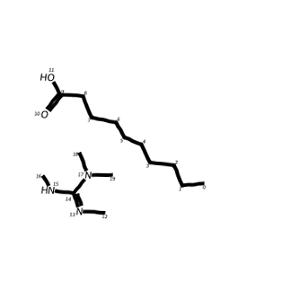 CCCCCCCCCC(=O)O.CN=C(NC)N(C)C